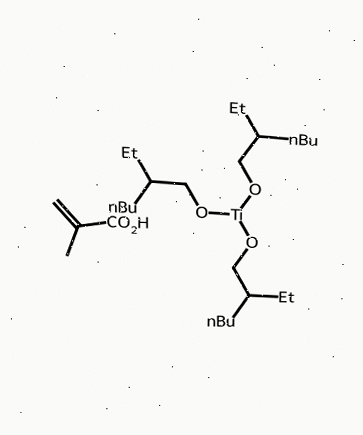 C=C(C)C(=O)O.CCCCC(CC)C[O][Ti]([O]CC(CC)CCCC)[O]CC(CC)CCCC